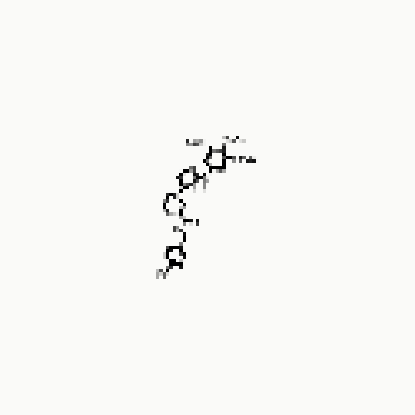 COc1cc(Nc2nccc(N3CCCC(C(=O)NCc4ccc(C(C)C)cc4)C3)n2)cc(OC)c1OC